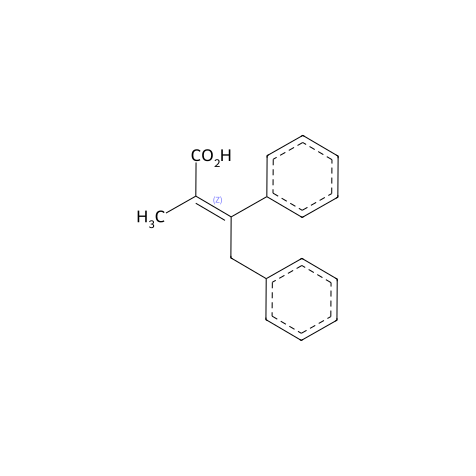 C/C(C(=O)O)=C(\Cc1ccccc1)c1ccccc1